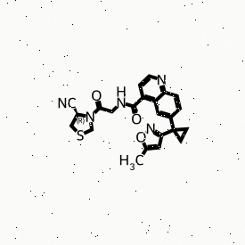 Cc1cc(C2(c3ccc4nccc(C(=O)NCC(=O)N5CSC[C@H]5C#N)c4c3)CC2)no1